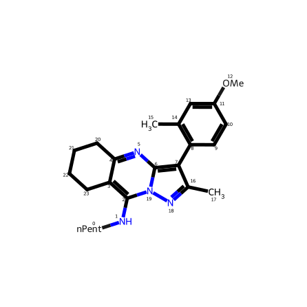 CCCCCNc1c2c(nc3c(-c4ccc(OC)cc4C)c(C)nn13)CCCC2